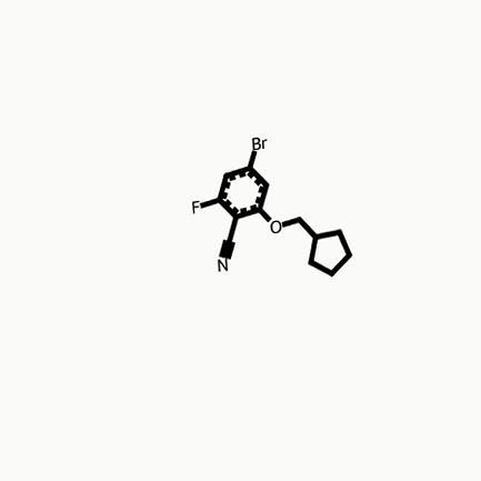 N#Cc1c(F)cc(Br)cc1OCC1CCCC1